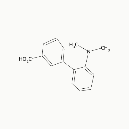 CN(C)c1ccccc1-c1cccc(C(=O)O)c1